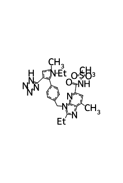 CCc1nc2c(C)cc(C(=O)NS(C)(=O)=O)nc2n1Cc1ccc(-c2c(-c3nnn[nH]3)cc(C)n2CC)cc1